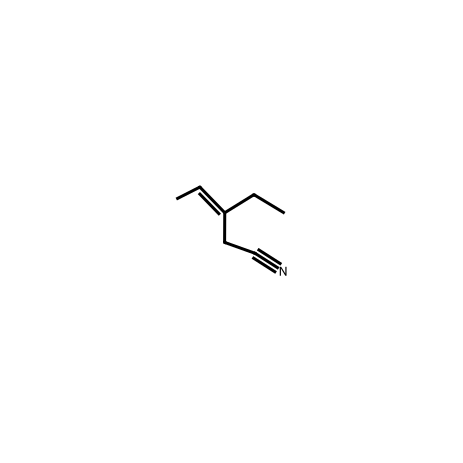 CC=C(CC)CC#N